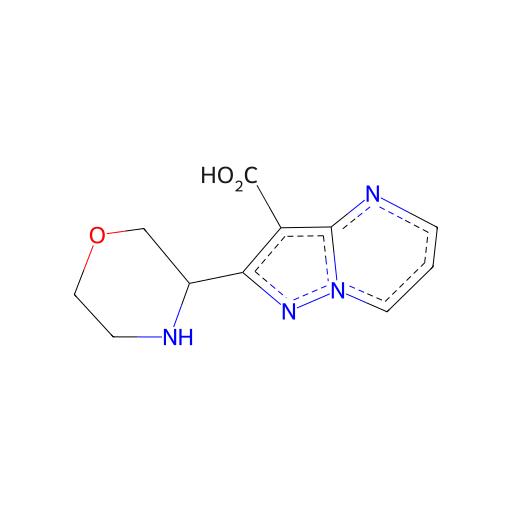 O=C(O)c1c(C2COCCN2)nn2cccnc12